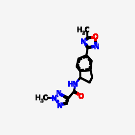 Cc1nc(-c2ccc3c(c2)CCC3NC(=O)c2cnn(C)n2)no1